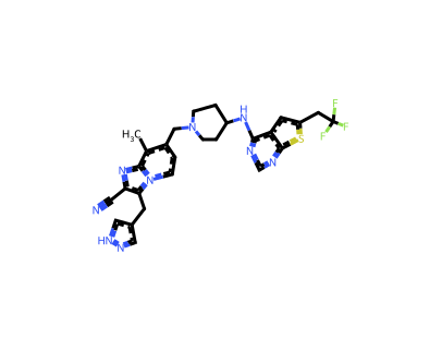 Cc1c(CN2CCC(Nc3ncnc4sc(CC(F)(F)F)cc34)CC2)ccn2c(Cc3cn[nH]c3)c(C#N)nc12